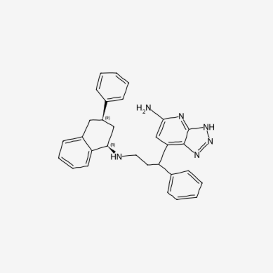 Nc1cc(C(CCN[C@@H]2C[C@H](c3ccccc3)Cc3ccccc32)c2ccccc2)c2nn[nH]c2n1